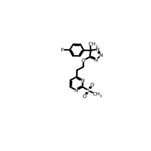 CC1(c2ccc(F)cc2)N=NN=C1OCCc1ccnc(S(C)(=O)=O)n1